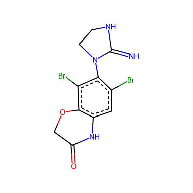 N=C1NCCN1c1c(Br)cc2c(c1Br)OCC(=O)N2